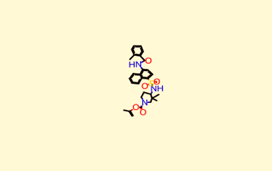 C=C(C)OC(=O)N1CCC(NS(=O)(=O)c2ccc(NC(=O)c3ccccc3C)c3ccccc23)C(C)(C)C1